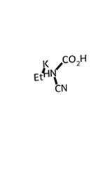 C[CH2][K].N#CNC(=O)O